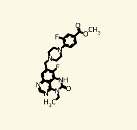 CCN1C(=O)Nc2c(F)c(CN3CCN(c4ccc(C(=O)OC)cc4F)CC3)cc3ncnc1c23